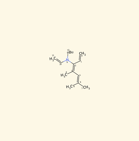 C=C/C(=C(/C)C=C(C)C)N(C=C)CCCC